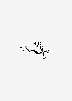 NCC=CS(=O)(=O)O.O